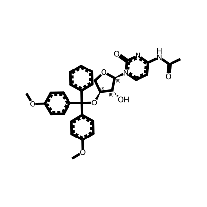 COc1ccc(C(O[C@H]2CO[C@@H](n3ccc(NC(C)=O)nc3=O)[C@@H]2O)(c2ccccc2)c2ccc(OC)cc2)cc1